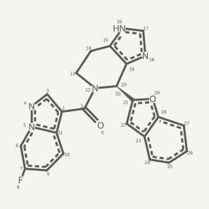 O=C(c1cnn2cc(F)ccc12)N1CCc2[nH]cnc2[C@H]1c1cc2ccccc2o1